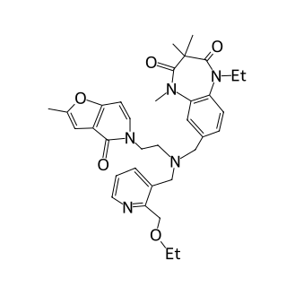 CCOCc1ncccc1CN(CCn1ccc2oc(C)cc2c1=O)Cc1ccc2c(c1)N(C)C(=O)C(C)(C)C(=O)N2CC